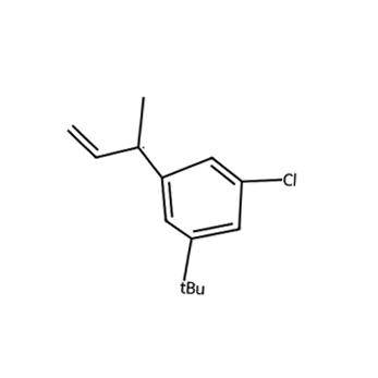 C=C[C](C)c1cc(Cl)cc(C(C)(C)C)c1